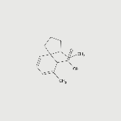 CCC1CCCC12C=CC=C(C)C2C(=O)O